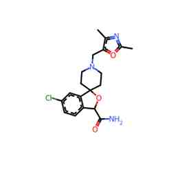 Cc1nc(C)c(CN2CCC3(CC2)OC(C(N)=O)c2ccc(Cl)cc23)o1